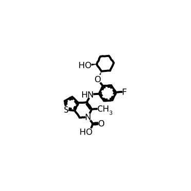 CC1=C(Nc2ccc(F)cc2O[C@H]2CCCC[C@@H]2O)c2ccsc2CN1C(=O)O